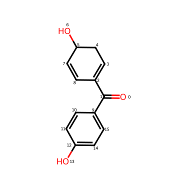 O=C(C1=CCC(O)C=C1)c1ccc(O)cc1